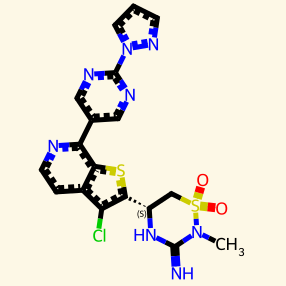 CN1C(=N)N[C@H](c2sc3c(-c4cnc(-n5cccn5)nc4)nccc3c2Cl)CS1(=O)=O